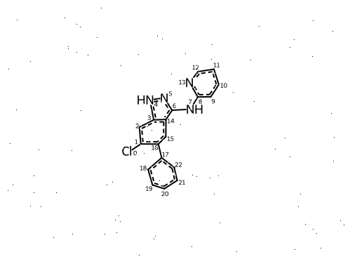 Clc1cc2[nH]nc(Nc3ccccn3)c2cc1-c1ccccc1